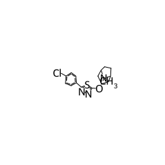 CN1C2CCC1CC(Oc1nnc(-c3ccc(Cl)cc3)s1)C2